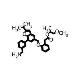 COCC(C)OC(=O)Cc1ccccc1OCc1cc(-c2cccc(CN)c2)c2oc(C(C)C)cc2c1